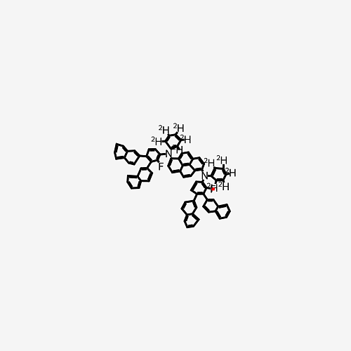 [2H]c1c([2H])c([2H])c(N(c2ccc(-c3ccc4ccccc4c3)c(-c3ccc4ccccc4c3)c2F)c2ccc3ccc4c(N(c5ccc(-c6ccc7ccccc7c6)c(-c6ccc7ccccc7c6)c5F)c5c([2H])c([2H])c([2H])c([2H])c5[2H])ccc5ccc2c3c54)c([2H])c1[2H]